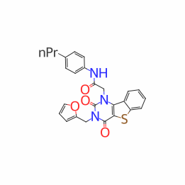 CCCc1ccc(NC(=O)Cn2c(=O)n(Cc3ccco3)c(=O)c3sc4ccccc4c32)cc1